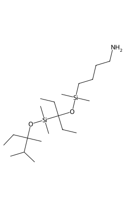 CCC(C)(O[Si](C)(C)C(CC)(CC)O[Si](C)(C)CCCCN)C(C)C